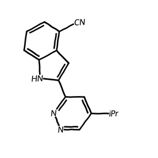 CC(C)c1cnnc(-c2cc3c(C#N)cccc3[nH]2)c1